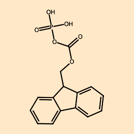 O=C(OCC1c2ccccc2-c2ccccc21)OP(=O)(O)O